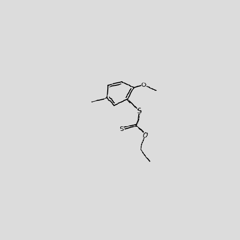 CCOC(=S)Sc1cc(C)ccc1OC